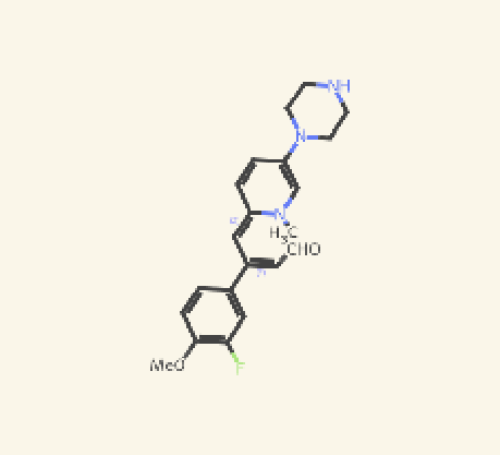 COc1ccc(C(/C=C2/C=CC(N3CCNCC3)=CN2C)=C/C=O)cc1F